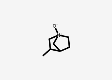 CC1C[N+]2([O-])CCC1C2